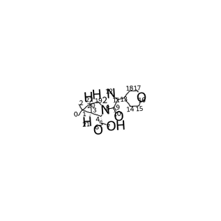 CC1(C)[C@@H]2[C@@H](C(=O)O)N(C(=O)[C@@H](N)C3CCOCC3)C[C@@H]21